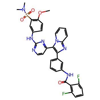 COc1ccc(Nc2nccc(-c3c(-c4cccc(NC(=O)c5c(F)cccc5F)c4)nc4ccccn34)n2)cc1S(=O)(=O)N(C)C